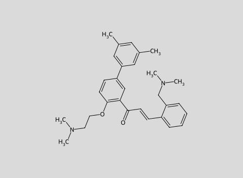 Cc1cc(C)cc(-c2ccc(OCCN(C)C)c(C(=O)C=Cc3ccccc3CN(C)C)c2)c1